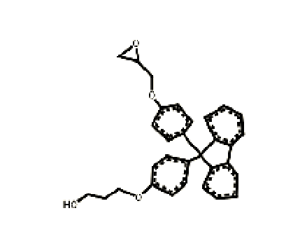 OCCCOc1ccc(C2(c3ccc(OCC4CO4)cc3)c3ccccc3-c3ccccc32)cc1